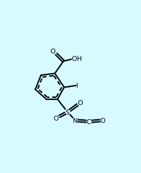 O=C=NS(=O)(=O)c1cccc(C(=O)O)c1I